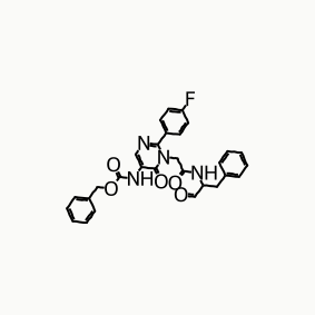 O=CC(Cc1ccccc1)NC(=O)Cn1c(-c2ccc(F)cc2)ncc(NC(=O)OCc2ccccc2)c1=O